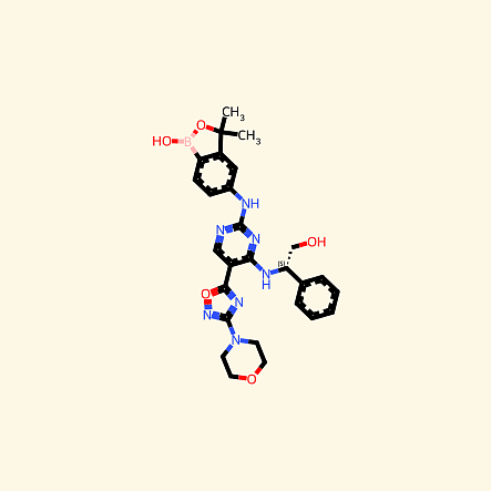 CC1(C)OB(O)c2ccc(Nc3ncc(-c4nc(N5CCOCC5)no4)c(N[C@H](CO)c4ccccc4)n3)cc21